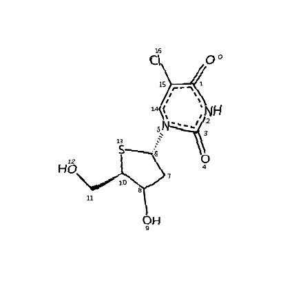 O=c1[nH]c(=O)n([C@@H]2CC(O)[C@@H](CO)S2)cc1Cl